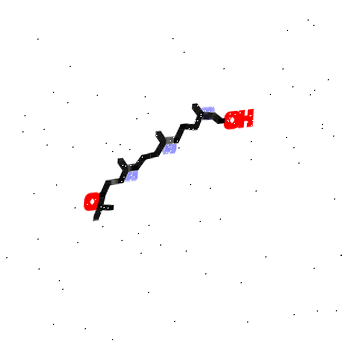 C/C(=C/CO)CC/C=C(\C)CC/C=C(\C)CCC1OC1(C)C